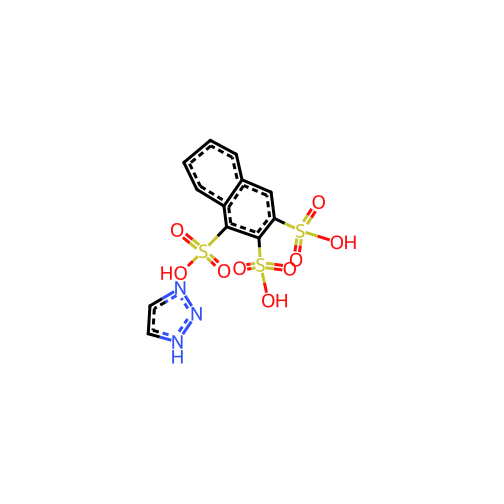 O=S(=O)(O)c1cc2ccccc2c(S(=O)(=O)O)c1S(=O)(=O)O.c1c[nH]nn1